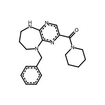 O=C(c1cnc2c(n1)N(Cc1ccccc1)CCCN2)N1CCCCC1